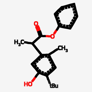 Cc1cc(C(C)(C)C)c(O)cc1C(C)C(=O)Oc1ccccc1